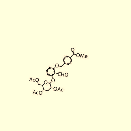 COC(=O)c1ccc(COc2cccc(OC3O[C@H](COC(C)=O)[C@@H](OC(C)=O)C[C@H]3OC(C)=O)c2C=O)cc1